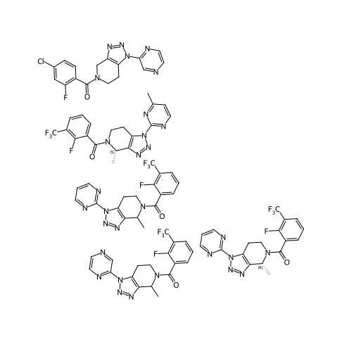 CC1c2nnn(-c3cnccn3)c2CCN1C(=O)c1cccc(C(F)(F)F)c1F.CC1c2nnn(-c3ncccn3)c2CCN1C(=O)c1cccc(C(F)(F)F)c1F.C[C@@H]1c2nnn(-c3ncccn3)c2CCN1C(=O)c1cccc(C(F)(F)F)c1F.Cc1ccnc(-n2nnc3c2CCN(C(=O)c2cccc(C(F)(F)F)c2F)[C@H]3C)n1.O=C(c1ccc(Cl)cc1F)N1CCc2c(nnn2-c2cnccn2)C1